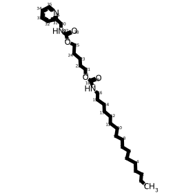 CCCCCCCCCCCCCCCCCNC(=O)OCCCCCOC(=O)NCc1ccccn1